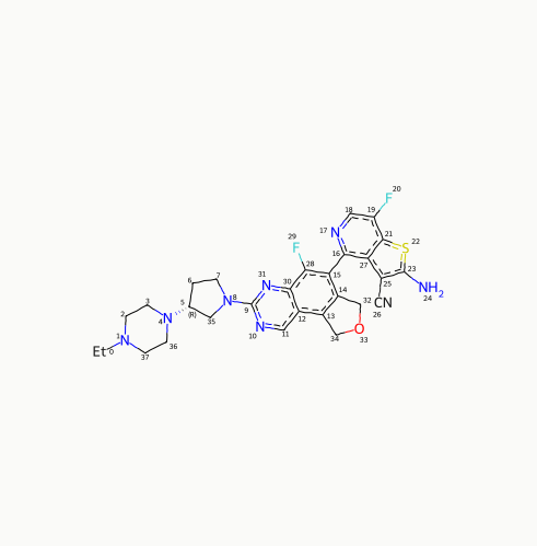 CCN1CCN([C@@H]2CCN(c3ncc4c5c(c(-c6ncc(F)c7sc(N)c(C#N)c67)c(F)c4n3)COC5)C2)CC1